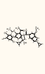 CCOc1c(C(N)=O)cc([C@@](O)(CNC(=O)c2cc(OC)c3nn(C4CC4)cc3c2)C2CC2)nc1-c1cc(Cl)c(F)cc1Cl